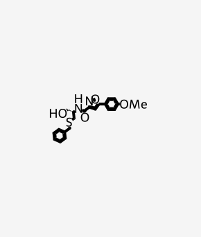 COc1ccc(-c2cc(C(=O)N[C@@H](CO)CSCc3ccccc3)no2)cc1